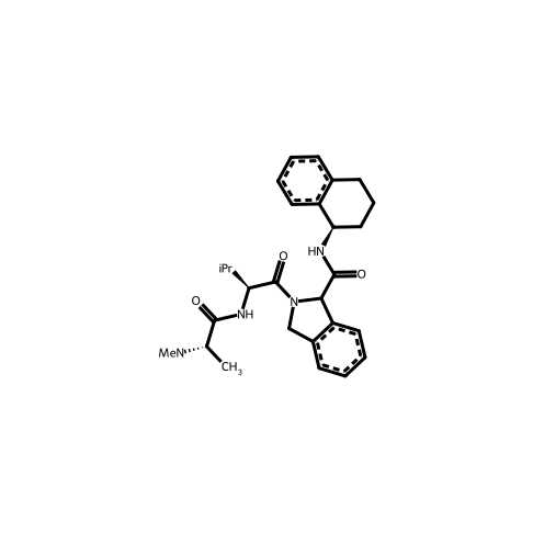 CN[C@@H](C)C(=O)N[C@H](C(=O)N1Cc2ccccc2C1C(=O)N[C@@H]1CCCc2ccccc21)C(C)C